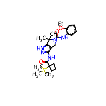 CCOc1ccccc1NC(=O)N1Cc2c(NC(=O)C3(S(C)(C)C)CCC3)n[nH]c2C1(C)C